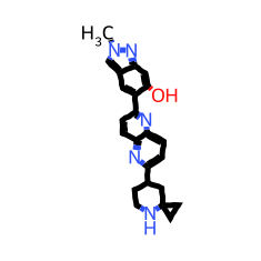 Cn1cc2cc(-c3ccc4nc(C5CCNC6(CC6)C5)ccc4n3)c(O)cc2n1